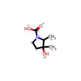 CC1N(C(=O)O)CCC1(C)O